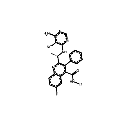 CCNC(=O)c1c(-c2ccccc2)c([C@H](C)Nc2ncnc(N)c2C#N)nc2ccc(F)cc12